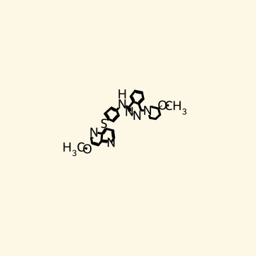 COc1cnc2c(Sc3ccc(Nc4nnc(N5CCC[C@@H](OC)C5)c5ccccc45)cc3)ccnc2c1